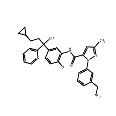 Cc1cc(C(=O)Nc2cc(C(O)(CCC3CC3)c3ccccn3)ccc2F)n(-c2cccc(CN)c2)n1